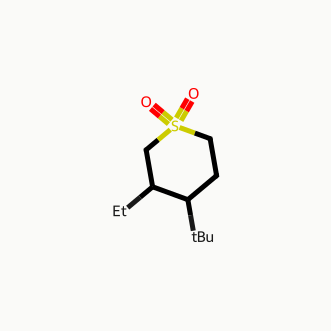 CCC1CS(=O)(=O)CCC1C(C)(C)C